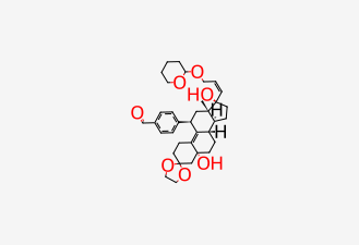 C[C@]12C[C@H](c3ccc(C=O)cc3)C3=C4CCC5(C[C@]4(O)CC[C@H]3[C@@H]1CC[C@@]2(O)/C=C\COC1CCCCO1)OCCO5